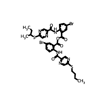 CCCCSc1cnc(C(=O)Nc2ccc(Br)cc2C(=O)OC(=O)c2cc(Br)ccc2NC(=O)c2cnc(SC(C)CC)cn2)cn1